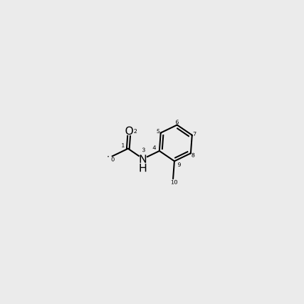 [CH2]C(=O)Nc1ccccc1C